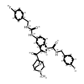 CN1CC2CCC1CN2C(=O)c1nn(C(=O)NCc2ccc(F)cc2)c2ccc(NC(=O)NCc3ccc(F)cc3)cc12